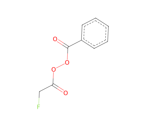 O=C(CF)OOC(=O)c1ccccc1